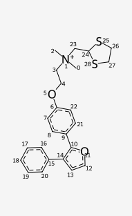 C[N+](C)(CCOc1ccc(-c2occc2-c2ccccc2)cc1)CC1SCCS1